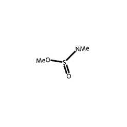 CNS(=O)OC